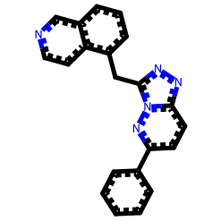 c1ccc(-c2ccc3nnc(Cc4cccc5cnccc45)n3n2)cc1